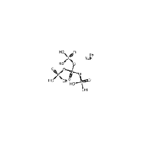 O=P(O)(O)OP(=O)(OP(=O)(O)O)OP(=O)(O)O.[Fe].[NaH]